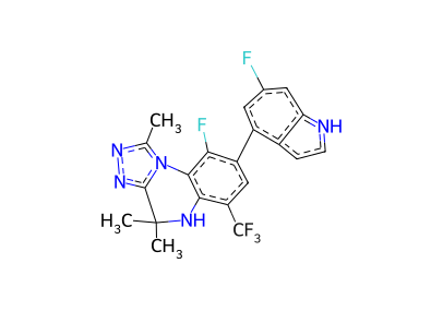 Cc1nnc2n1-c1c(F)c(-c3cc(F)cc4[nH]ccc34)cc(C(F)(F)F)c1NC2(C)C